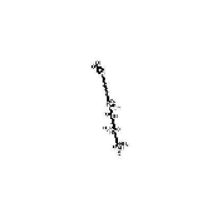 CCCNC(=O)[C@@H](N)CCCCNC(=O)[C@@H](N)CCCCNC(=O)CC[C@H](NC(=O)CCCCCCCCCCCOc1ccc(C(=O)O)cc1)C(=O)O